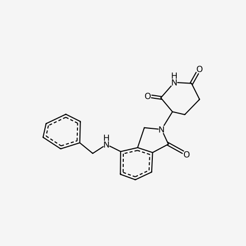 O=C1CCC(N2Cc3c(NCc4ccccc4)cccc3C2=O)C(=O)N1